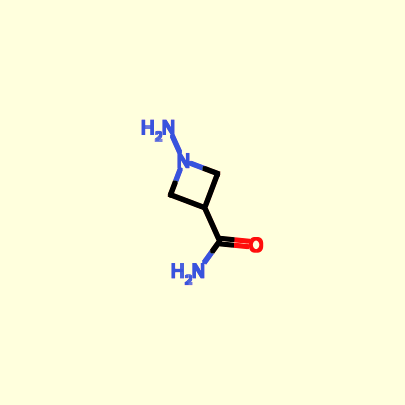 NC(=O)C1CN(N)C1